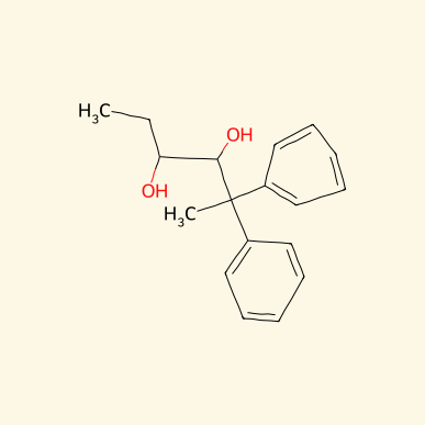 CCC(O)C(O)C(C)(c1ccccc1)c1ccccc1